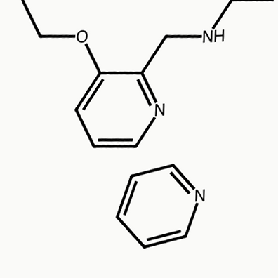 CCNCc1ncccc1OCC.c1ccncc1